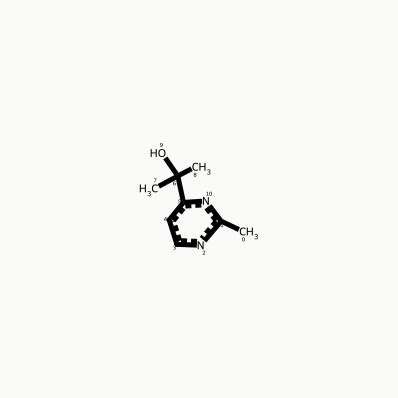 Cc1nccc(C(C)(C)O)n1